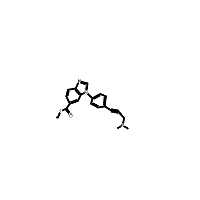 COC(=O)c1ccc2ncn(-c3ccc(C#CCN(C)C)cc3)c2c1